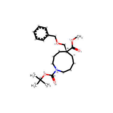 COC(=O)[C@]1(COCc2ccccc2)CCCCN(C(=O)OC(C)(C)C)CCC1